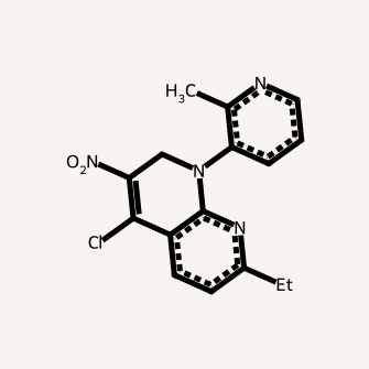 CCc1ccc2c(n1)N(c1cccnc1C)CC([N+](=O)[O-])=C2Cl